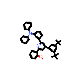 COc1ccccc1-c1cc(-c2cc(C(C)(C)C)cc(C(C)(C)C)c2)cc(-c2cccc(N(c3ccccc3)c3ccccc3)c2)n1